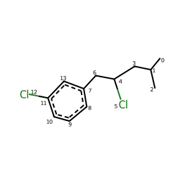 CC(C)CC(Cl)Cc1cccc(Cl)c1